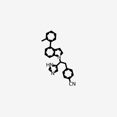 Cc1ccccc1-c1cccc2c1ccn2C(Cc1ccc(C#N)cc1)c1cnc[nH]1